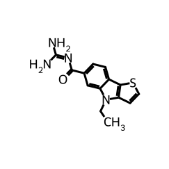 CCn1c2cc(C(=O)N=C(N)N)ccc2c2sccc21